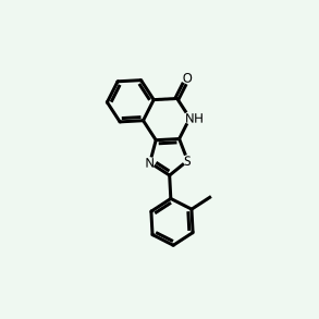 Cc1ccccc1-c1nc2c([nH]c(=O)c3ccccc32)s1